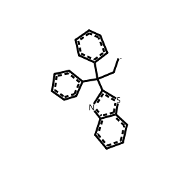 [CH2]CC(c1ccccc1)(c1ccccc1)c1nc2ccccc2s1